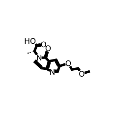 COCCOc1cnc2ccn([C@H](C)C(=O)O)c(=O)c2c1